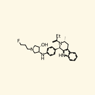 C=C(CC)N1[C@H](c2ccc(N[C@H]3CN(CCCF)C[C@@H]3O)cc2)c2[nH]c3ccccc3c2C[C@H]1C